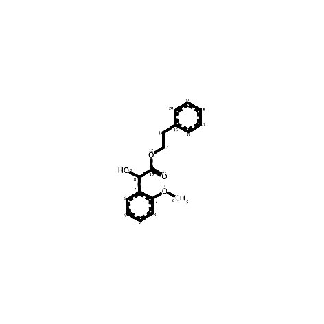 COc1ccccc1C(O)C(=O)OCCc1ccccc1